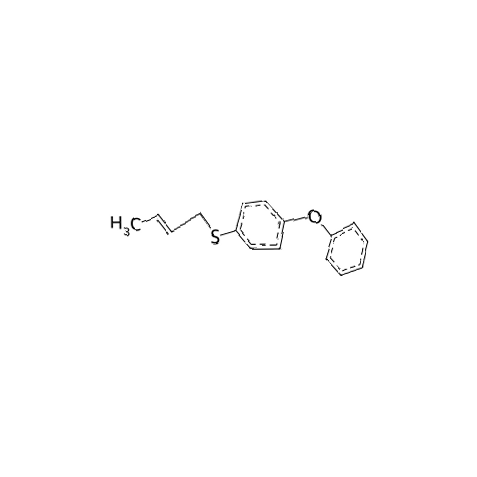 CC=CCSc1ccc(Oc2ccccc2)cc1